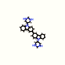 C1CCC2C(C1)C1CC(C3CCC4C(C3)C3CCCCC3N4C3CNCNC3)CCC1N2C1CNCNC1